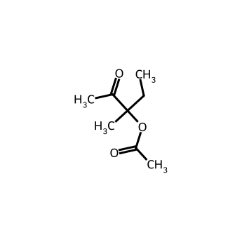 CCC(C)(OC(C)=O)C(C)=O